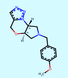 COc1ccc(CN2C[C@@H]3[C@@H](C2)OCc2cnnn23)cc1